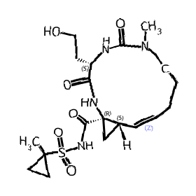 CN1CCCC/C=C\[C@@H]2C[C@@]2(C(=O)NS(=O)(=O)C2(C)CC2)NC(=O)[C@H](CCO)NC1=O